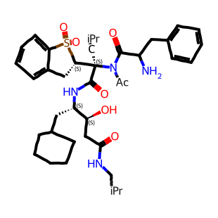 CC(=O)N(C(=O)C(N)Cc1ccccc1)[C@@](CC(C)C)(C(=O)N[C@@H](CC1CCCCC1)[C@@H](O)CC(=O)NCC(C)C)[C@@H]1Cc2ccccc2S1(=O)=O